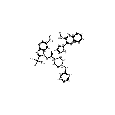 COc1ccc2nc(C(F)(F)F)n(CC(=O)N3CCN(Cc4cnccn4)C[C@H]3c3ncc(-c4cc5ccccc5nc4OC)[nH]3)c2c1